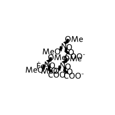 COCCN(CCOC)C(=O)CC(=O)C(=O)[O-].COCCN(CCOC)C(=O)CC(=O)C(=O)[O-].COCCN(CCOC)C(=O)CC(=O)C(=O)[O-].[Fe+3]